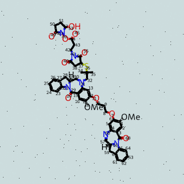 COc1cc2c(cc1OCCCOc1cc3c(cc1OC)C(=O)N1c4ccccc4C[C@H]1CN3CC(C)(C)SC1CC(=O)N(CCC(=O)ON3C(=O)CCC3O)C1=O)N=C[C@@H]1Cc3ccccc3N1C2=O